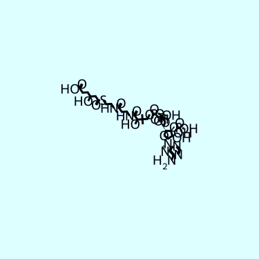 CC(C)(COP(=O)(O)OP(=O)(O)OC[C@H]1O[C@@H](n2cnc3c(N)ncnc32)[C@H](O)[C@@H]1OP(=O)(O)O)C(O)C(=O)NCCC(=O)NCCSC(=O)CC(O)CCC(=O)O